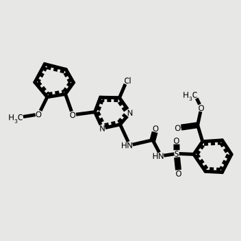 COC(=O)c1ccccc1S(=O)(=O)NC(=O)Nc1nc(Cl)cc(Oc2ccccc2OC)n1